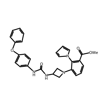 COC(=O)c1cccc(N2CC(NC(=O)Nc3ccc(Oc4ccccc4)cc3)C2)c1-n1cccc1